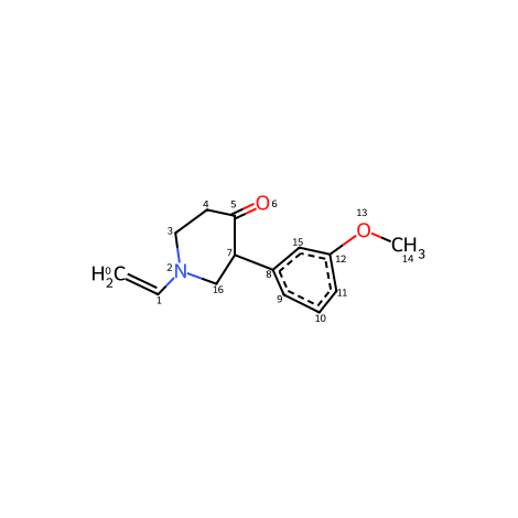 C=CN1CCC(=O)C(c2cccc(OC)c2)C1